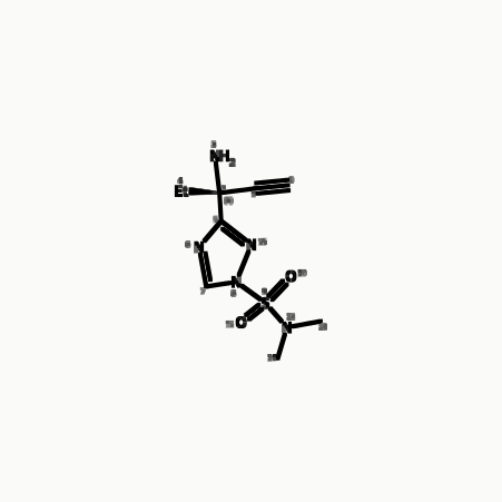 C#C[C@](N)(CC)c1ncn(S(=O)(=O)N(C)C)n1